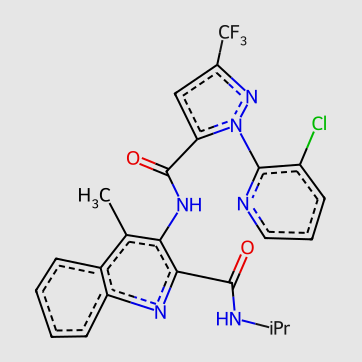 Cc1c(NC(=O)c2cc(C(F)(F)F)nn2-c2ncccc2Cl)c(C(=O)NC(C)C)nc2ccccc12